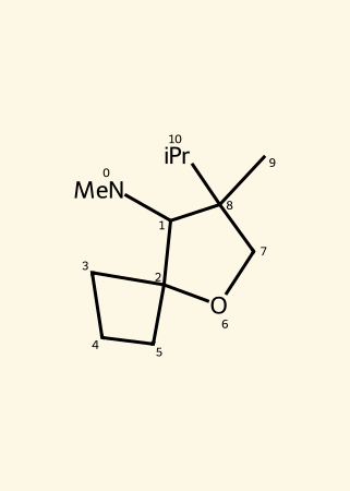 CNC1C2(CCC2)OCC1(C)C(C)C